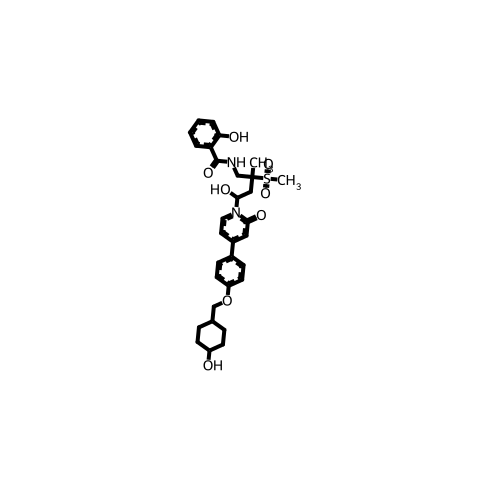 CC(CNC(=O)c1ccccc1O)(CC(O)n1ccc(-c2ccc(OCC3CCC(O)CC3)cc2)cc1=O)S(C)(=O)=O